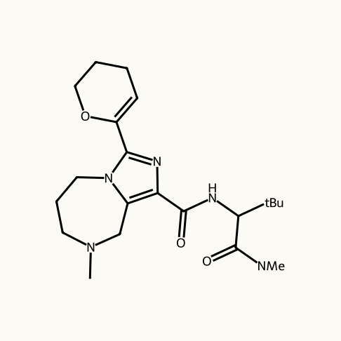 CNC(=O)C(NC(=O)c1nc(C2=CCCCO2)n2c1CN(C)CCC2)C(C)(C)C